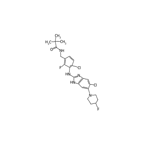 CC(C)(C)C(=O)NCc1ccc(Cl)c(Nc2nc3cc(Cl)c(N4CCC(F)CC4)cc3[nH]2)c1F